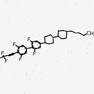 CCCCCC1CCC(C2CCC(c3cc(F)c(-c4cc(F)c(C#CC(F)(F)F)c(F)c4)c(F)c3)CC2)CC1